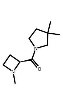 CN1CC[C@H]1C(=O)N1CCC(C)(C)C1